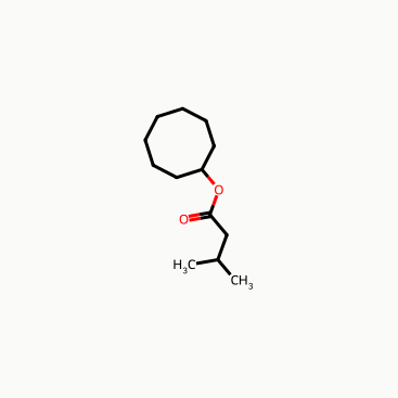 CC(C)CC(=O)OC1CCCCCCC1